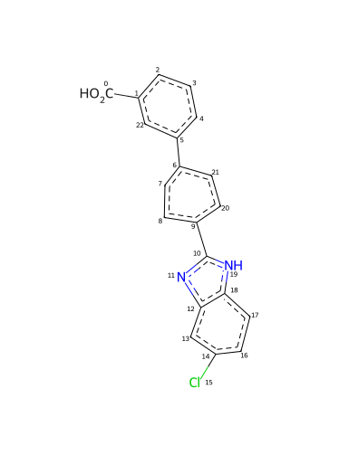 O=C(O)c1cccc(-c2ccc(-c3nc4cc(Cl)ccc4[nH]3)cc2)c1